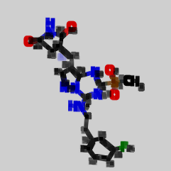 CS(=O)(=O)c1nc(NCCc2cccc(F)c2)n2ncc(/C=C3\CC(=O)NC3=O)c2n1